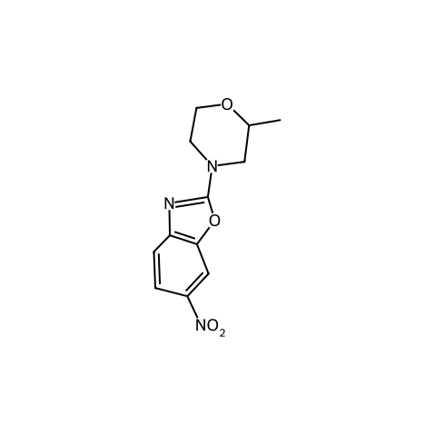 CC1CN(c2nc3ccc([N+](=O)[O-])cc3o2)CCO1